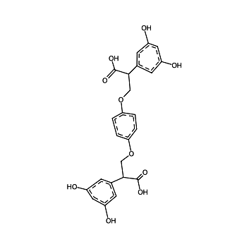 O=C(O)C(COc1ccc(OCC(C(=O)O)c2cc(O)cc(O)c2)cc1)c1cc(O)cc(O)c1